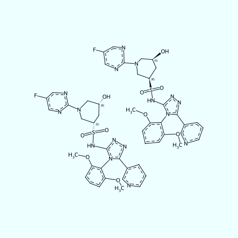 COc1cccc(OC)c1-n1c(NS(=O)(=O)[C@@H]2C[C@H](O)CN(c3ncc(F)cn3)C2)nnc1-c1cccnc1.COc1cccc(OC)c1-n1c(NS(=O)(=O)[C@H]2C[C@@H](O)CN(c3ncc(F)cn3)C2)nnc1-c1cccnc1